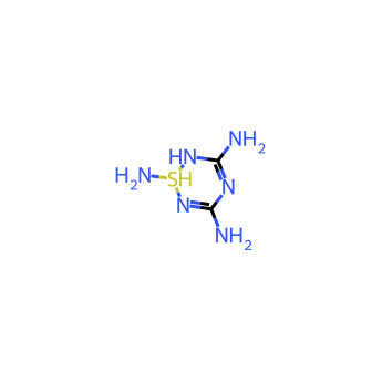 NC1=N[SH](N)NC(N)=N1